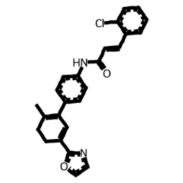 CC1=C(c2ccc(NC(=O)/C=C/c3ccccc3Cl)cc2)C=C(c2ncco2)CC1